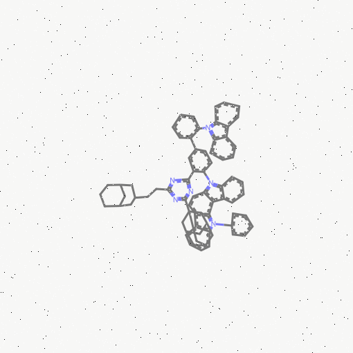 c1ccc(-n2c3ccccc3c3ccc4c(c5ccccc5n4-c4ccc(-c5ccccc5-n5c6ccccc6c6ccccc65)cc4-c4nc(CCC5CC6CCCC(C6)C5)nc(C56CC7CC(CC(C7)C5)C6)n4)c32)cc1